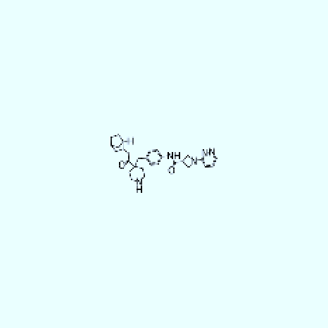 O=C(Nc1ccc(CC2(C(=O)CC3CC4CC[C@H]3C4)CCNCC2)cc1)C1CN(c2cccnn2)C1